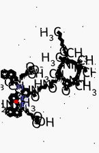 CCCCCCOC(C)c1c(C)c2cc3nc(c4c5[nH]c(cc6nc(cc1[nH]2)C(C)=C6CC)c(C)c5C(=O)C4)[C@@H](CCC(=O)NCCCNC(=O)C1CC(/C=C/C2=[N+](CCCCS(=O)(=O)[O-])c4ccc5ccccc5c4C2(C)C)=C(Sc2ccc(N)cc2)C(=C/C=C2/N(CCCCS(=O)(=O)O)c4ccc5ccccc5c4C2(C)C)/C1)[C@H]3C